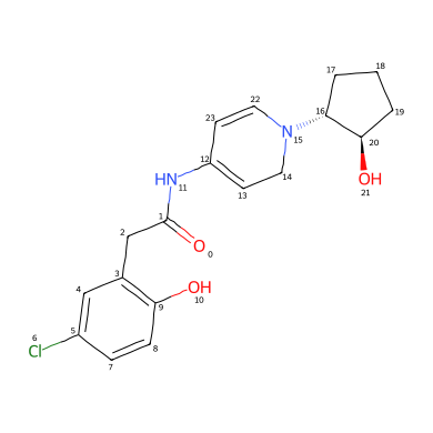 O=C(Cc1cc(Cl)ccc1O)NC1=CCN([C@@H]2CCC[C@H]2O)C=C1